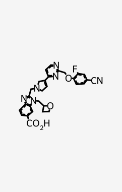 N#Cc1ccc(OCc2nccc(C3=CCN(Cc4nc5ccc(C(=O)O)cc5n4CC4CCO4)C3)n2)c(F)c1